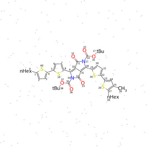 CCCCCCc1ccc(-c2ccc(C3=C4C(=O)N(C(=O)OC(C)(C)C)C(c5ccc(-c6cc(C)c(CCCCCC)s6)s5)=C4C(=O)N3C(=O)OC(C)(C)C)s2)s1